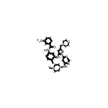 Cc1ccc(NC(=O)c2cccc(C(F)(F)F)c2)cc1Nc1cc(CN2CCOCC2)nn1-c1cc(NN2CCN(C)CC2)ncn1